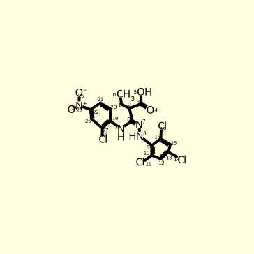 CCC(C(=O)O)C(=NNc1c(Cl)cc(Cl)cc1Cl)Nc1ccc([N+](=O)[O-])cc1Cl